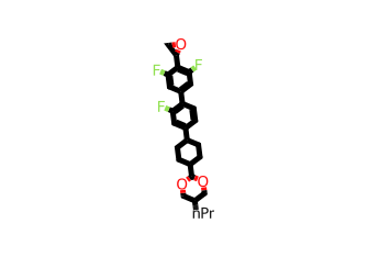 CCCC1COC(C2CCC(c3ccc(-c4cc(F)c(C5CO5)c(F)c4)c(F)c3)CC2)OC1